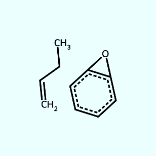 C=CCC.c1ccc2c(c1)O2